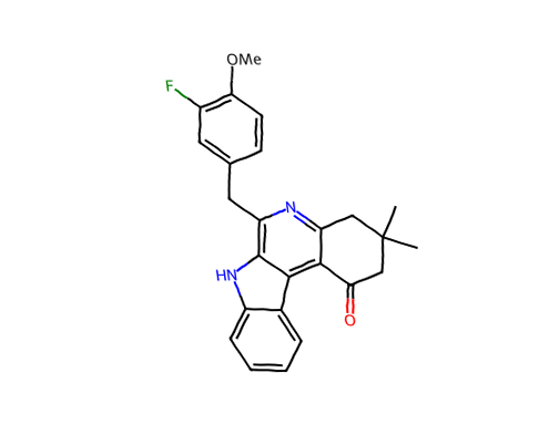 COc1ccc(Cc2nc3c(c4c2[nH]c2ccccc24)C(=O)CC(C)(C)C3)cc1F